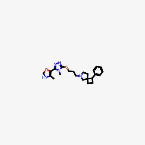 CC1=C(c2nnc(SCCCN3CCC4(CCC4c4ccccc4)C3)n2C)OCN1